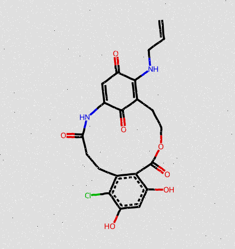 C=CCNC1=C2CCOC(=O)c3c(O)cc(O)c(Cl)c3CCC(=O)NC(=CC1=O)C2=O